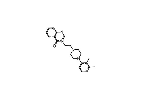 Cc1cccc(N2CCN(CCn3cnc4ccccc4c3=O)CC2)c1C